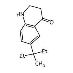 CCC(C)(CC)c1ccc2c(c1)C(=O)CCN2